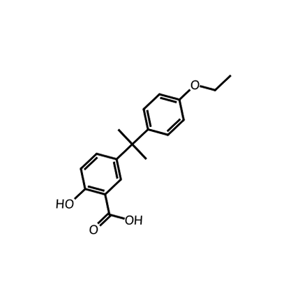 CCOc1ccc(C(C)(C)c2ccc(O)c(C(=O)O)c2)cc1